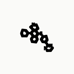 c1ccc(-c2c3ccccc3c(Sc3ccc(-c4ncccn4)cc3)c3ccncc23)cc1